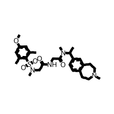 COc1cc(C)c(S(=O)(=O)N(C)CC(=O)NCC(=O)N(C)C(C)c2ccc3c(c2)CCN(C)CC3)c(C)c1